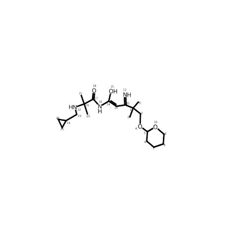 CC(C)(COC1CCCCO1)C(=N)/C=C(\O)NC(=O)C(C)(C)NCC1CC1